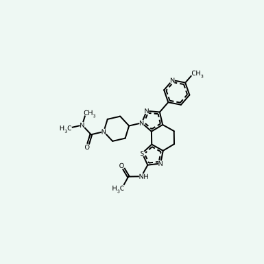 CC(=O)Nc1nc2c(s1)-c1c(c(-c3ccc(C)nc3)nn1C1CCN(C(=O)N(C)C)CC1)CC2